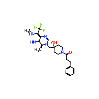 C=c1c(=N)/c(=C(\NC)C(F)(F)F)ncn1CC1(O)CCN(C(=O)CCc2ccccc2)CC1